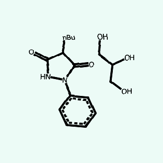 CCCCC1C(=O)NN(c2ccccc2)C1=O.OCC(O)CO